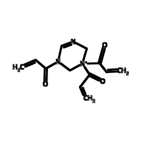 C=CC(=O)N1C=NC[N+](C(=O)C=C)(C(=O)C=C)C1